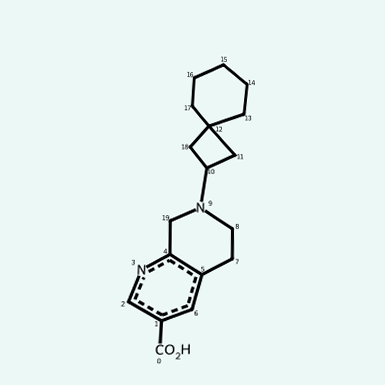 O=C(O)c1cnc2c(c1)CCN(C1CC3(CCCCC3)C1)C2